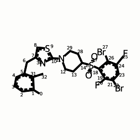 Cc1cccc(Cc2csc(N3CCC(S(=O)(=O)c4c(F)c(Br)cc(F)c4Br)CC3)n2)c1C